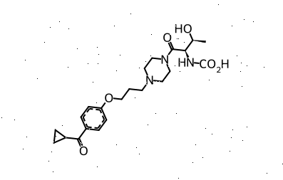 C[C@H](O)[C@@H](NC(=O)O)C(=O)N1CCN(CCCOc2ccc(C(=O)C3CC3)cc2)CC1